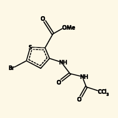 COC(=O)c1sc(Br)cc1NC(=O)NC(=O)C(Cl)(Cl)Cl